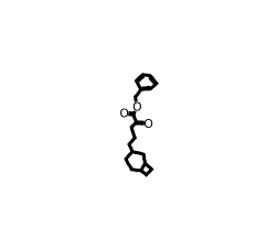 O=C(CCCC1CCC2CCC2C1)C(=O)OCc1ccccc1